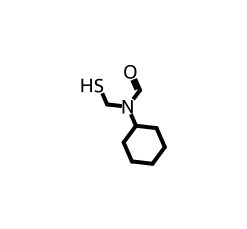 O=CN(CS)C1CCCCC1